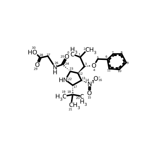 CC(C)[C@H](OCc1ccccc1)[C@H]1[C@H]([N+](=O)[O-])[C@H](C(C)(C)C)N[C@@H]1C(=O)NCC(=O)O